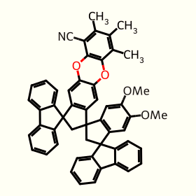 COc1cc2c(cc1OC)C1(CC23CC2(c4ccccc4-c4ccccc42)c2cc4c(cc23)Oc2c(C)c(C)c(C)c(C#N)c2O4)c2ccccc2-c2ccccc21